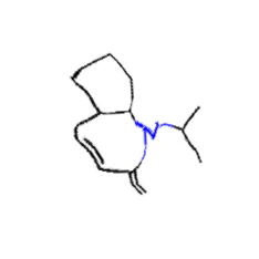 C=C1C=CC2CCCC2N1C(C)C